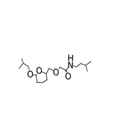 CC(C)CCNC(=O)COCC1CCCC(OCC(C)C)O1